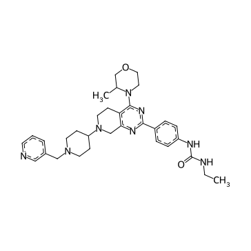 CCNC(=O)Nc1ccc(-c2nc3c(c(N4CCOCC4C)n2)CCN(C2CCN(Cc4cccnc4)CC2)C3)cc1